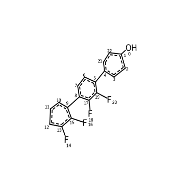 Oc1ccc(-c2ccc(-c3cccc(F)c3F)c(F)c2F)cc1